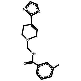 Cc1cccc(C(=O)NCN2CC=C(c3nccs3)CC2)c1